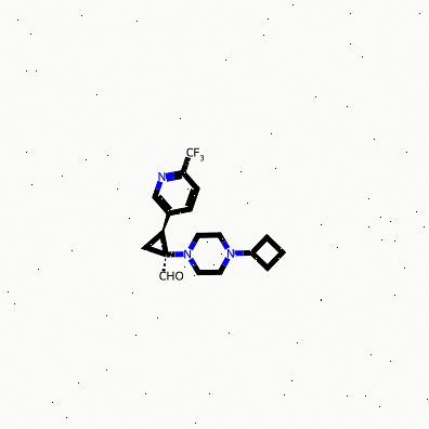 O=C[C@]1(N2CCN(C3CCC3)CC2)C[C@H]1c1ccc(C(F)(F)F)nc1